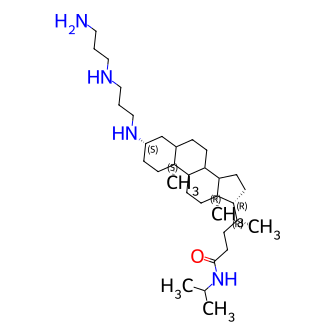 CC(C)NC(=O)CC[C@@H](C)[C@H]1CCC2C3CCC4C[C@@H](NCCCNCCCN)CC[C@]4(C)C3CC[C@@]21C